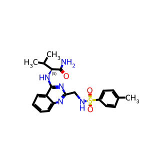 Cc1ccc(S(=O)(=O)NCc2nc(N[C@H](C(N)=O)C(C)C)c3ccccc3n2)cc1